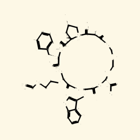 C[C@H]1C(=O)NCCCC[C@@H](C(N)=O)NC(=O)[C@H](Cc2c[nH]c3ccccc23)NC(=O)[C@H](CCCNC=N)NC(=O)[C@@H](Cc2ccccc2)NC(=O)[C@@H]2C[C@@H](O)CN2C1=O